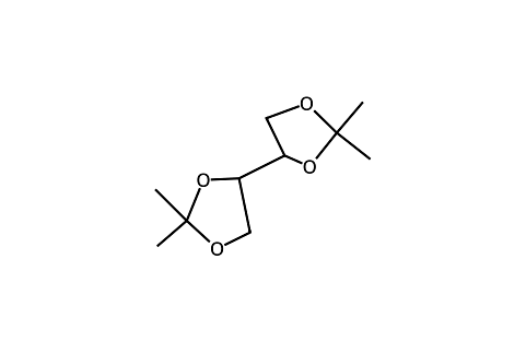 CC1(C)OCC(C2COC(C)(C)O2)O1